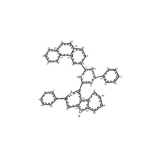 c1ccc(-c2cc(-c3nc(-c4ccccc4)nc(-c4ccc5ccc6ccccc6c5c4)n3)c3c(c2)oc2ccccc23)cc1